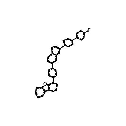 Fc1ccc(-c2ccc(-c3ccc4ccc(-c5ccc(-c6cccc7c6oc6ccccc67)cc5)cc4c3)cc2)cc1